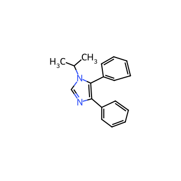 CC(C)n1cnc(-c2ccccc2)c1-c1ccccc1